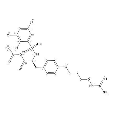 N=C(N)NOCCCOc1ccc(C[C@H](NS(=O)(=O)c2cc(Cl)cc(Cl)c2O)C(=O)OC(=O)C(F)(F)F)cc1